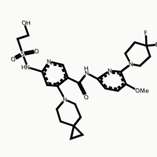 COc1ccc(NC(=O)c2cnc(NS(=O)(=O)CCO)cc2N2CCC3(CC2)CC3)nc1N1CCC(F)(F)CC1